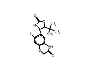 CC(C)(C)C1OC(=O)NN1c1cc2c(cc1F)OCC(=O)N2